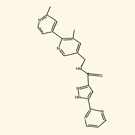 Cc1cc(-c2ncc(CNC(=O)c3cc(-c4ccccn4)[nH]n3)cc2C)ccn1